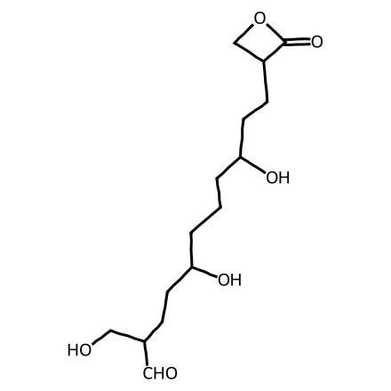 O=CC(CO)CCC(O)CCCC(O)CCC1COC1=O